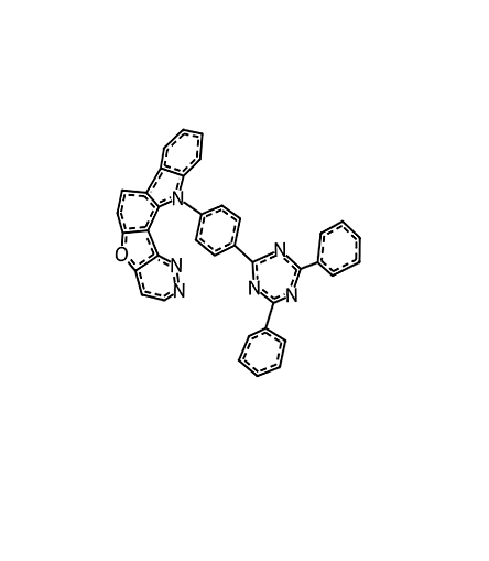 c1ccc(-c2nc(-c3ccccc3)nc(-c3ccc(-n4c5ccccc5c5ccc6oc7ccnnc7c6c54)cc3)n2)cc1